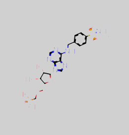 NS(=O)(=O)c1ccc(CNc2ncnc3c2ncn3[C@@H]2O[C@H](COCP(=O)(O)O)[C@@H](O)[C@H]2O)cc1